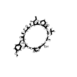 CC[C@H](C)[C@H]1C(=O)N2CCC[C@H]2C(=O)O[C@H](C(C)(C)C)C[C@@H](C)C[C@H](O)C2=N[C@@H](CCC(=O)N[C@@H](Cc3ccc(OC)cc3)C(=O)N(C)[C@@H](C)C(=O)N1C)CS2